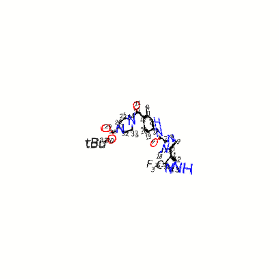 Cc1cc(NC(=O)c2ncc(-c3c[nH]nc3C(F)(F)F)n2C)ccc1C(=O)N1CCN(C(=O)OC(C)(C)C)CC1